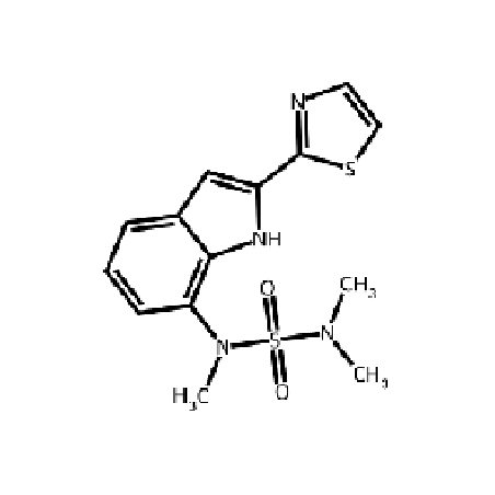 CN(C)S(=O)(=O)N(C)c1cccc2cc(-c3nccs3)[nH]c12